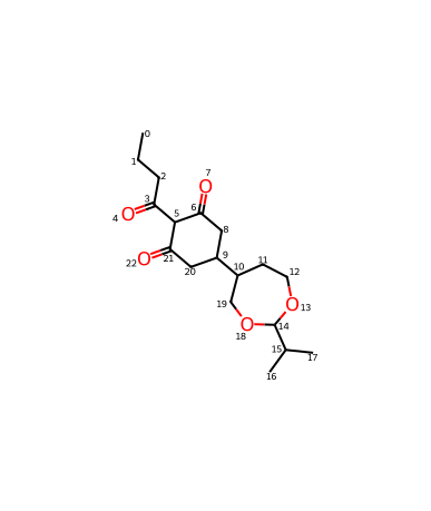 CCCC(=O)C1C(=O)CC(C2CCOC(C(C)C)OC2)CC1=O